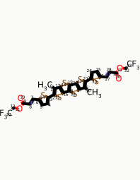 Cc1c(-c2ccc(/C=C/C(=O)OCC(F)(F)F)s2)sc2c1sc1c3sc(-c4ccc(/C=C/C(=O)OCC(F)(F)F)s4)c(C)c3sc21